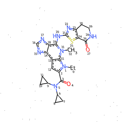 CCn1c(C(=O)N(C2CC2)C2CC2)cc2c3ncnc-3c(Nc3nc4c(s3)C(=O)NCC4)n(C)c21